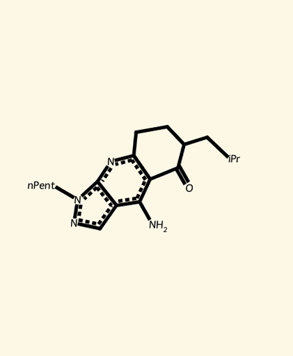 CCCCCn1ncc2c(N)c3c(nc21)CCC(CC(C)C)C3=O